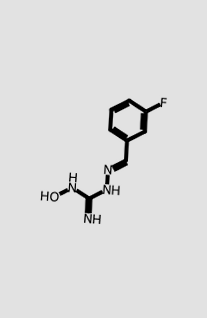 N=C(NO)NN=Cc1cccc(F)c1